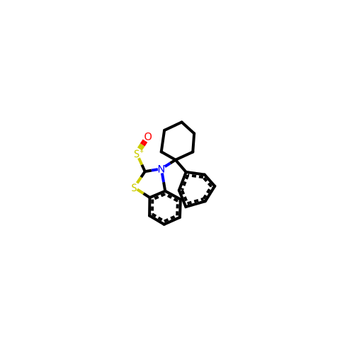 O=[S+]C1Sc2ccccc2N1C1(c2ccccc2)CCCCC1